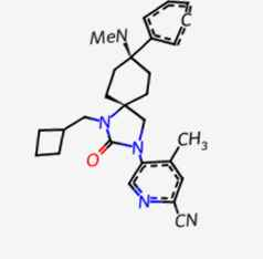 CN[C@]1(c2ccccc2)CC[C@@]2(CC1)CN(c1cnc(C#N)cc1C)C(=O)N2CC1CCC1